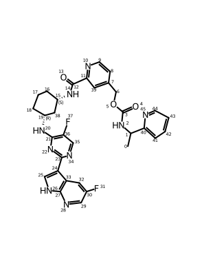 CC(NC(=O)OCc1ccnc(C(=O)N[C@H]2CCC[C@@H](Nc3nc(-c4c[nH]c5ncc(F)cc45)ncc3F)C2)c1)c1ccccn1